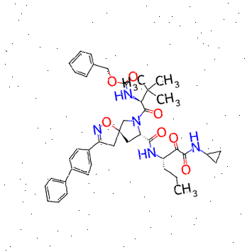 CCC[C@H](NC(=O)[C@@H]1C[C@]2(CC(c3ccc(-c4ccccc4)cc3)=NO2)CN1C(=O)[C@@H](NC(=O)OCc1ccccc1)C(C)(C)C)C(=O)C(=O)NC1CC1